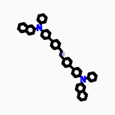 C(=C\c1ccc(-c2ccc(N(c3ccccc3)c3ccc4ccccc4c3)cc2)cc1)/c1ccc(-c2ccc(N(c3ccccc3)c3ccc4ccccc4c3)cc2)cc1